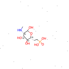 CN[C@@H]1C(O)O[C@H](CCP(=O)(O)O)[C@@H](O)[C@@H]1O